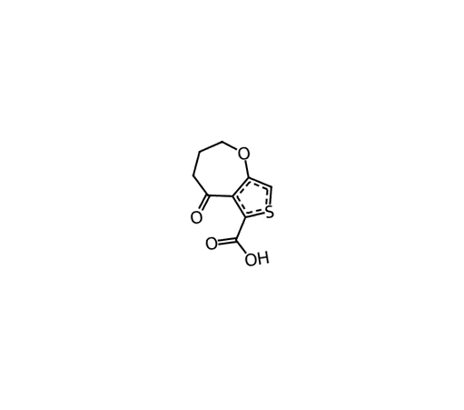 O=C(O)c1scc2c1C(=O)CCCO2